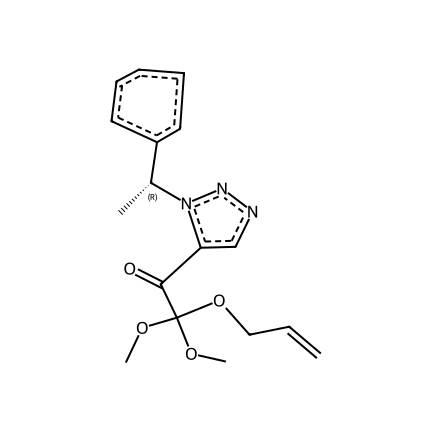 C=CCOC(OC)(OC)C(=O)c1cnnn1[C@H](C)c1ccccc1